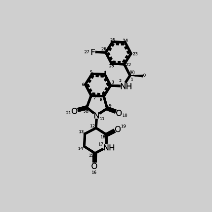 C[C@@H](Nc1cccc2c1C(=O)N(C1CCC(=O)NC1=O)C2=O)c1cccc(F)c1